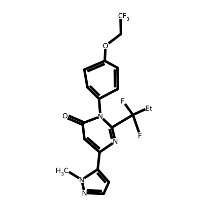 CCC(F)(F)c1nc(-c2ccnn2C)cc(=O)n1-c1ccc(OCC(F)(F)F)cc1